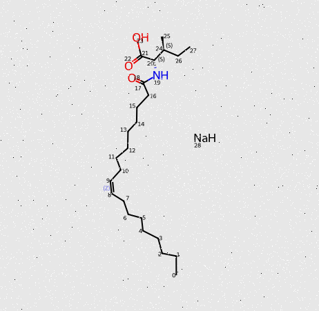 CCCCCCCC/C=C\CCCCCCCC(=O)N[C@H](C(=O)O)[C@@H](C)CC.[NaH]